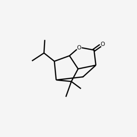 CC(C)C1C2OC(=O)C3CC1C(C)(C)C32